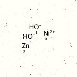 [Ni+2].[OH-].[OH-].[Zn]